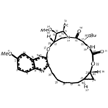 COc1ccc2nc3c(nc2c1)O[C@H]1CN(C(=O)[C@H](C(C)(C)C)NC(=O)O[C@@H]2C[C@H]2CCCCC3)[C@H](C(C)=O)[C@@H]1OC